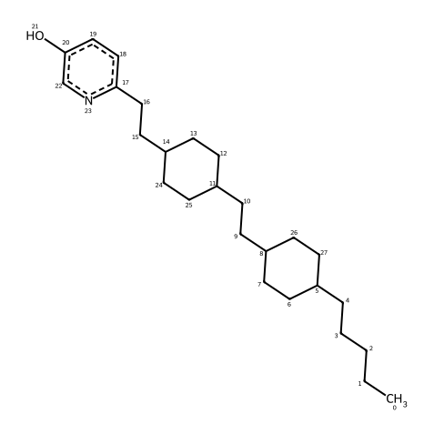 CCCCCC1CCC(CCC2CCC(CCc3ccc(O)cn3)CC2)CC1